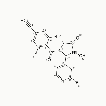 C#Cc1cc(F)c(C(=O)N2CC(=O)N(O)C2c2cccc(Br)c2)c(F)c1